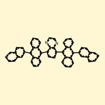 c1ccc2cc(-c3c4ccccc4c(-c4ccc(-c5c6ccccc6c(-c6ccc7ccccc7c6)c6ccccc56)c5nccnc45)c4ccccc34)ccc2c1